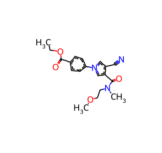 CCOC(=O)c1ccc(-n2cc(C#N)c(C(=O)N(C)CCOC)c2)cc1